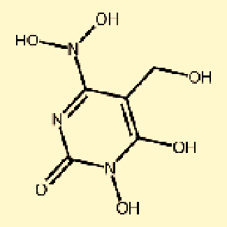 O=c1nc(N(O)O)c(CO)c(O)n1O